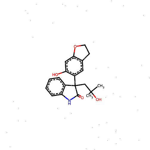 CC(C)(O)CC1(c2cc3c(cc2O)OCC3)C(=O)Nc2ccccc21